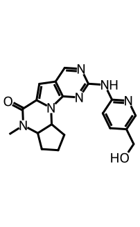 CN1C(=O)c2cc3cnc(Nc4ccc(CO)cn4)nc3n2C2CCCC21